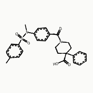 Cc1ccc(S(=O)(=O)N(C)c2ccc(C(=O)N3CCC(C(=O)O)(c4ccccc4)CC3)cc2)cc1